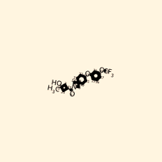 C[C@]1(O)C[C@@H](C(=O)N2CC3(CCC(Oc4cccc(OC(F)(F)F)c4)CC3)C2)C1